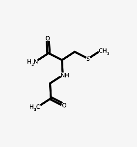 CSCC(NCC(C)=O)C(N)=O